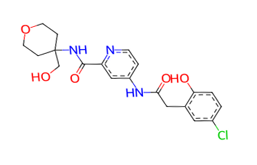 O=C(Cc1cc(Cl)ccc1O)Nc1ccnc(C(=O)NC2(CO)CCOCC2)c1